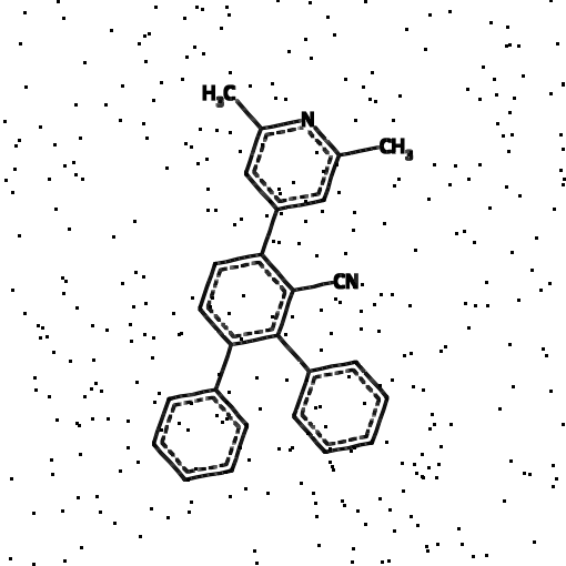 Cc1cc(-c2ccc(-c3ccccc3)c(-c3ccccc3)c2C#N)cc(C)n1